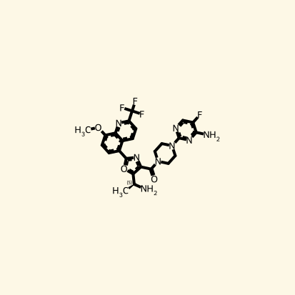 COc1ccc(-c2nc(C(=O)N3CCN(c4ncc(F)c(N)n4)CC3)c([C@H](C)N)o2)c2ccc(C(F)(F)F)nc12